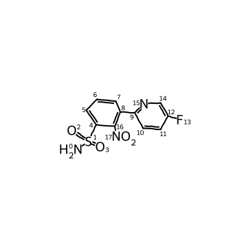 NS(=O)(=O)c1cccc(-c2ccc(F)cn2)c1[N+](=O)[O-]